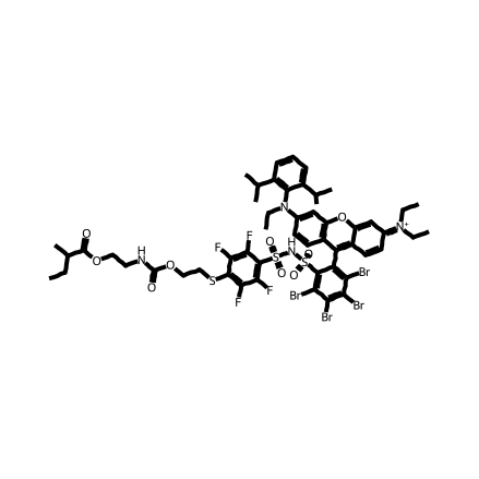 CCC(C)C(=O)OCCNC(=O)OCCSc1c(F)c(F)c(S(=O)(=O)NS(=O)(=O)c2c(Br)c(Br)c(Br)c(Br)c2-c2c3ccc(=[N+](CC)CC)cc-3oc3cc(N(CC)c4c(C(C)C)cccc4C(C)C)ccc23)c(F)c1F